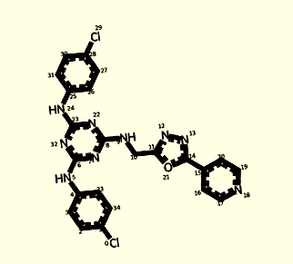 Clc1ccc(Nc2nc(NCc3nnc(-c4ccncc4)o3)nc(Nc3ccc(Cl)cc3)n2)cc1